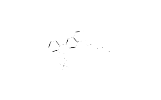 COCCOCOc1ccc(-c2ccccc2S(=O)(=O)NC(C)(C)C)cc1C=O